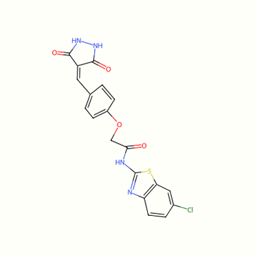 O=C(COc1ccc(C=C2C(=O)NNC2=O)cc1)Nc1nc2ccc(Cl)cc2s1